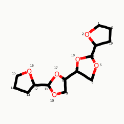 C1COC(C2OCC(C3COC(C4CCCO4)O3)O2)C1